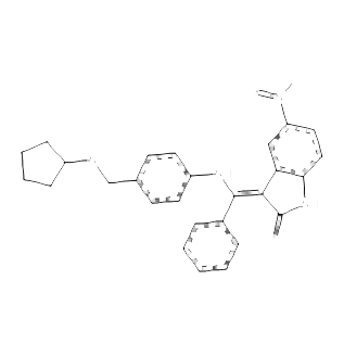 O=C1Nc2ccc([N+](=O)[O-])cc2C1=C(Nc1ccc(CNC2CCCC2)cc1)c1ccccc1